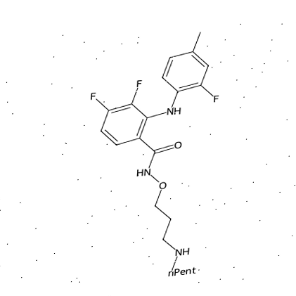 CCCCCNCCCONC(=O)c1ccc(F)c(F)c1Nc1ccc(C)cc1F